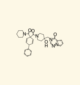 O=C(N1CCCCC1)C1(C(=O)N2CCC(O)(Cn3cnn4cccc4c3=O)CC2)C=CC(c2ccccc2)C=C1